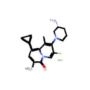 Cc1c(N2CCC[C@@H](N)C2)c(F)cn2c(=O)c(C(=O)O)cc(C3CC3)c12.Cl